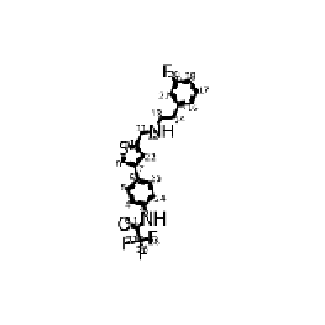 O=C(Nc1ccc(-c2csc(CNCCc3cccc(F)c3)c2)cc1)C(F)(F)F